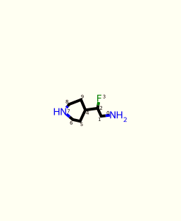 NCC(F)C1CCNCC1